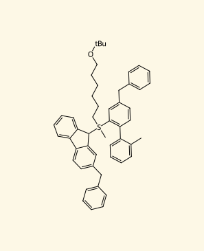 Cc1ccccc1-c1ccc(Cc2ccccc2)cc1S(C)(CCCCCCOC(C)(C)C)C1c2ccccc2-c2ccc(Cc3ccccc3)cc21